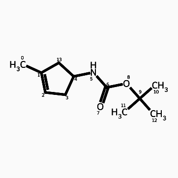 CC1=CCC(NC(=O)OC(C)(C)C)C1